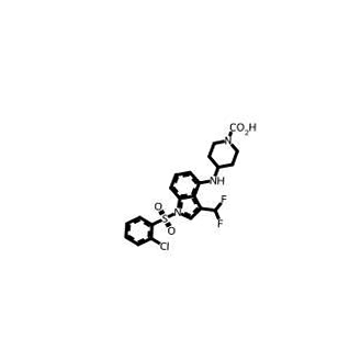 O=C(O)N1CCC(Nc2cccc3c2c(C(F)F)cn3S(=O)(=O)c2ccccc2Cl)CC1